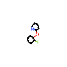 Fc1c[c]ccc1Oc1ccccn1